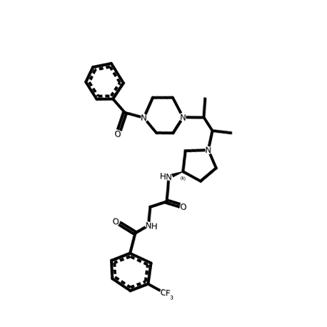 CC(C(C)N1CC[C@@H](NC(=O)CNC(=O)c2cccc(C(F)(F)F)c2)C1)N1CCN(C(=O)c2ccccc2)CC1